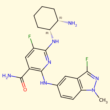 Cn1nc(F)c2cc(Nc3nc(N[C@@H]4CCCC[C@@H]4N)c(F)cc3C(N)=O)ccc21